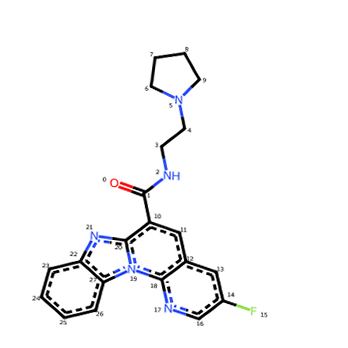 O=C(NCCN1CCCC1)c1cc2cc(F)cnc2n2c1nc1ccccc12